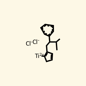 CC(C)C(CC1=[C]([Ti+2])CC=C1)c1ccccc1.[Cl-].[Cl-]